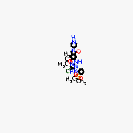 CC(C)Oc1cc2c(cc1Nc1ncc(Cl)c(Nc3ccccc3S(=O)(=O)C(C)C)n1)C(=O)N(C1CCNCC1)C2